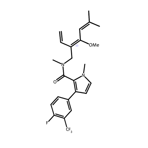 C=C/C(CN(C)C(=O)c1c(-c2ccc(F)c(C(F)(F)F)c2)ccn1C)=C(\C=C(C)C)OC